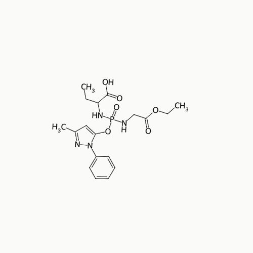 CCOC(=O)CNP(=O)(NC(CC)C(=O)O)Oc1cc(C)nn1-c1ccccc1